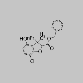 CCCC1(C)c2c(O)ccc(Cl)c2OC1C(=O)OCc1ccccc1